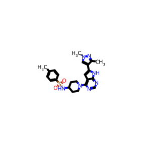 Cc1ccc(S(=O)(=O)NC2CCN(c3ncnc4[nH]c(-c5cn(C)nc5C)cc34)CC2)cc1